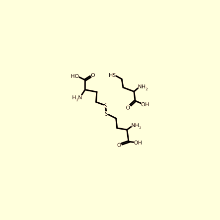 NC(CCS)C(=O)O.NC(CCSSCCC(N)C(=O)O)C(=O)O